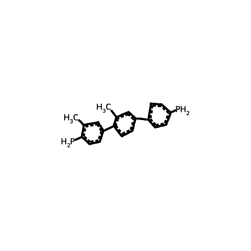 Cc1cc(-c2ccc(-c3ccc(P)cc3)cc2C)ccc1P